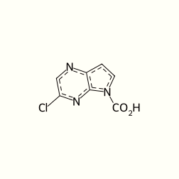 O=C(O)n1ccc2ncc(Cl)nc21